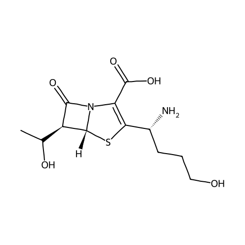 CC(O)[C@H]1C(=O)N2C(C(=O)O)=C([C@H](N)CCCO)S[C@H]12